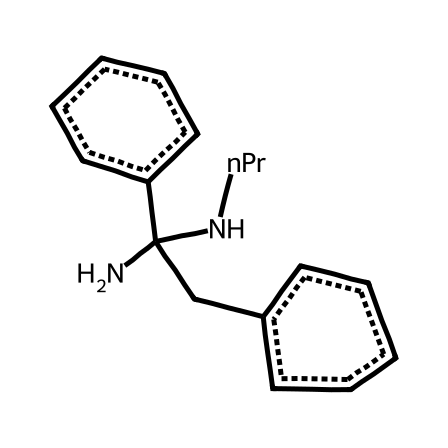 CCCNC(N)(Cc1ccccc1)c1ccccc1